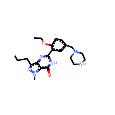 CCCc1nn(C)c2c(=O)[nH]c(-c3cc(CN4CCNCC4)ccc3OCC)nc12